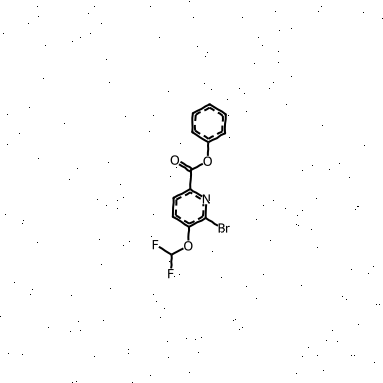 O=C(Oc1ccccc1)c1ccc(OC(F)F)c(Br)n1